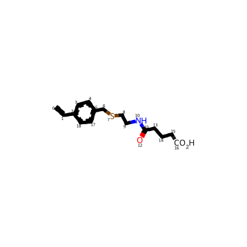 C=Cc1ccc(CSCCNC(=O)CCCC(=O)O)cc1